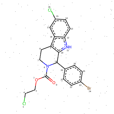 O=C(OCCCl)N1CCc2c([nH]c3ccc(Cl)cc23)C1c1ccc(Br)cc1